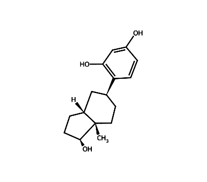 C[C@]12CC[C@H](c3ccc(O)cc3O)C[C@H]1CC[C@@H]2O